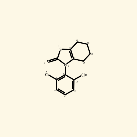 S=c1sc2c(n1-c1c(Cl)cccc1Cl)CCCC2